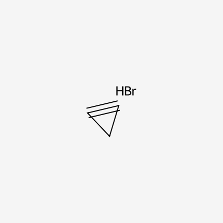 Br.C1#CC1